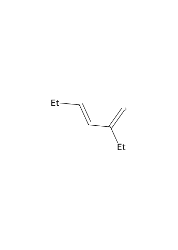 [C]=C(C=CCC)CC